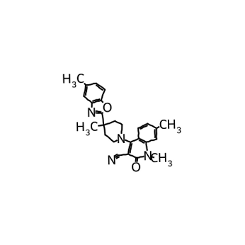 Cc1ccc2oc(C3(C)CCN(c4c(C#N)c(=O)n(C)c5cc(C)ccc45)CC3)nc2c1